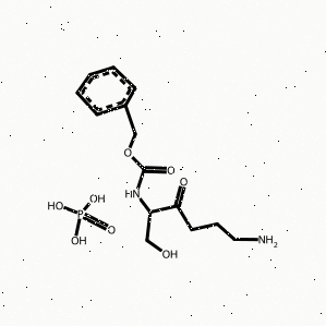 NCCCC(=O)C(CO)NC(=O)OCc1ccccc1.O=P(O)(O)O